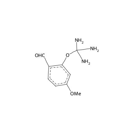 COc1ccc(C=O)c(OC(N)(N)N)c1